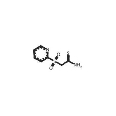 NC(=S)CS(=O)(=O)c1ccccn1